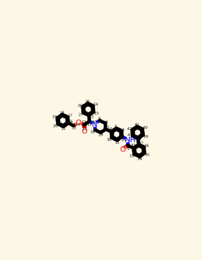 O=C(Nc1ccc(C2CCN(C(C(=O)OCc3ccccc3)c3ccccc3)CC2)cc1)c1ccccc1-c1ccccc1